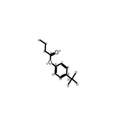 CCCC(=O)Oc1ccc(C(C)(C)C)cc1